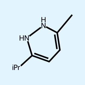 CC1=CC=C(C(C)C)NN1